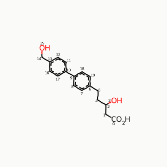 O=C(O)CC(O)CCc1ccc(-c2ccc(CO)cc2)cc1